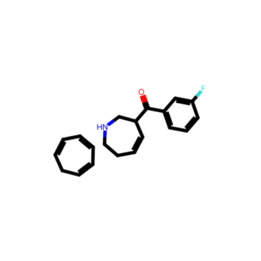 C1=CC=CCC=C1.O=C(c1cccc(F)c1)C1C=CCCNC1